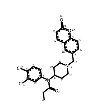 CCC(=O)N(c1ccc(Cl)c(Cl)c1)C1CCN(Cc2ccc3oc(=O)ccc3c2)CC1